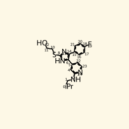 CC(C)CNc1cc(-c2[nH]c(SCCO)nc2-c2ccc(F)cc2)ccn1